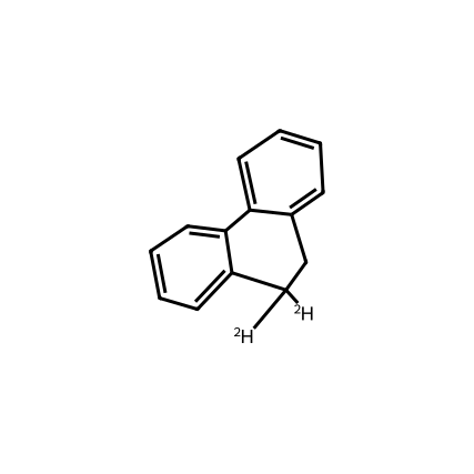 [2H]C1([2H])Cc2ccccc2-c2ccccc21